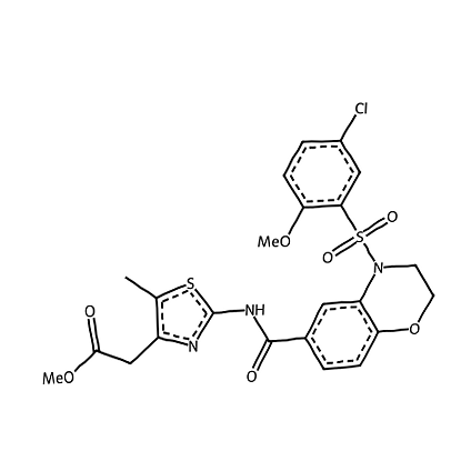 COC(=O)Cc1nc(NC(=O)c2ccc3c(c2)N(S(=O)(=O)c2cc(Cl)ccc2OC)CCO3)sc1C